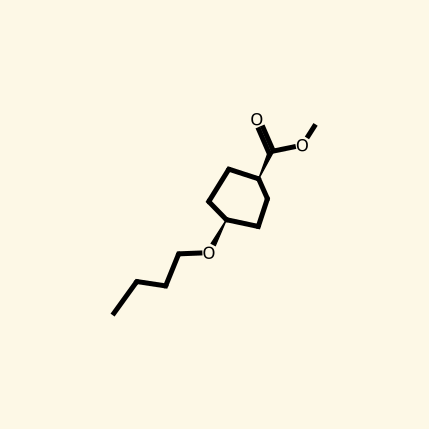 CCCCO[C@H]1CC[C@@H](C(=O)OC)CC1